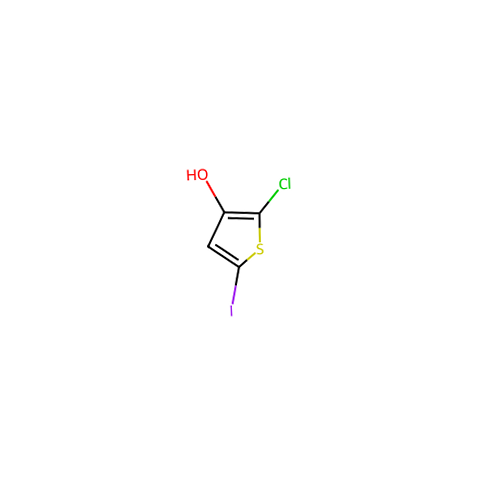 Oc1cc(I)sc1Cl